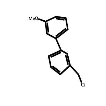 COc1cccc(-c2cccc(CCl)c2)c1